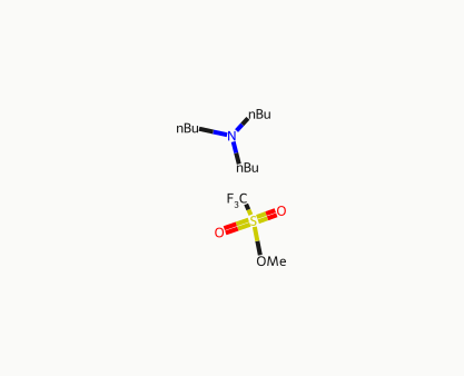 CCCCN(CCCC)CCCC.COS(=O)(=O)C(F)(F)F